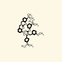 COc1cccc(CN(Cc2ccc(N(C)C)cc2)C(=O)Oc2cc(OC(=O)N(Cc3ccc(N(C)C)cc3)Cc3cccc(OC)c3)cc(N(C)C)c2)c1